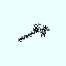 COc1nn(CCOCCOCCO)cc1Nc1nc(Cl)nc2c1ncn2C